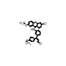 COc1ccc(C(=CC=O)c2cccc(Nc3c4ccc(Cl)cc4nc4ccc(OC)cc34)c2)cc1